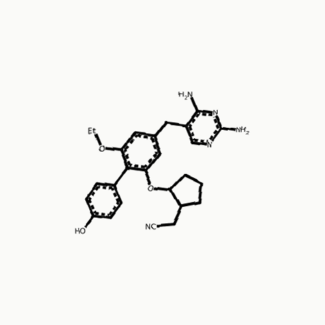 CCOc1cc(Cc2cnc(N)nc2N)cc(OC2CCCC2CC#N)c1-c1ccc(O)cc1